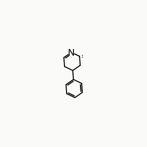 [C]1CC(c2ccccc2)CC=N1